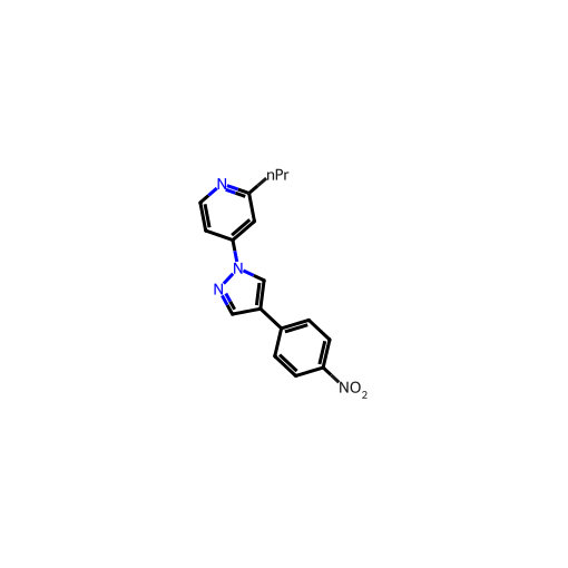 CCCc1cc(-n2cc(-c3ccc([N+](=O)[O-])cc3)cn2)ccn1